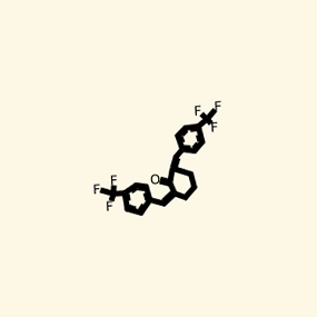 O=C1C(=Cc2ccc(C(F)(F)F)cc2)CCCC1=Cc1ccc(C(F)(F)F)cc1